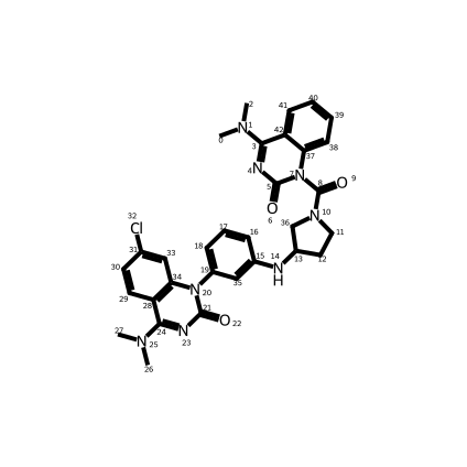 CN(C)c1nc(=O)n(C(=O)N2CCC(Nc3cccc(-n4c(=O)nc(N(C)C)c5ccc(Cl)cc54)c3)C2)c2ccccc12